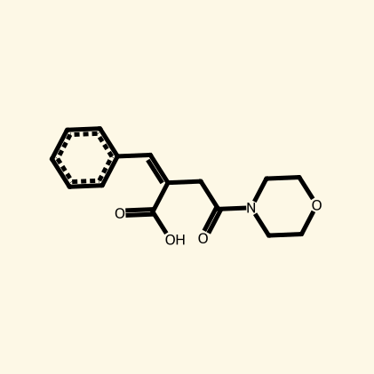 O=C(O)C(=Cc1ccccc1)CC(=O)N1CCOCC1